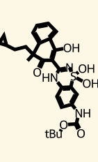 CC(C)(C)OC(=O)Nc1ccc2c(c1)S(O)(O)N=C(C1=C(O)c3ccccc3C(C)(CCC3CC3)C1=O)N2